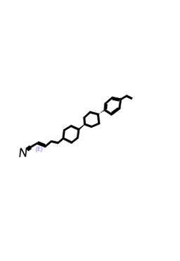 CCc1ccc([C@H]2CC[C@H](C3CCC(CC/C=C/C#N)CC3)CC2)cc1